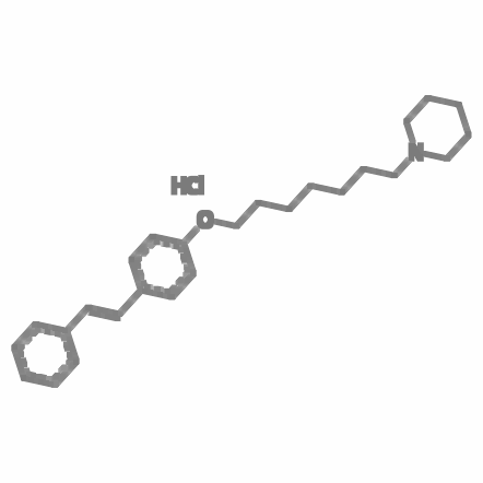 C(=C\c1ccc(OCCCCCCCN2CCCCC2)cc1)/c1ccccc1.Cl